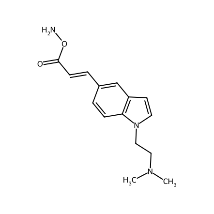 CN(C)CCn1ccc2cc(/C=C/C(=O)ON)ccc21